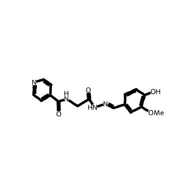 COc1cc(C=NNC(=O)CNC(=O)c2ccncc2)ccc1O